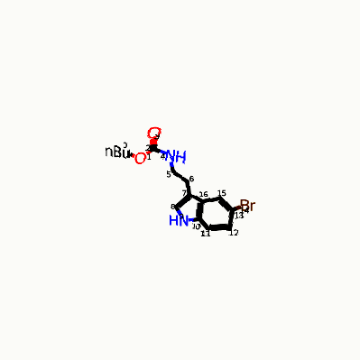 CCCCOC(=O)NCCc1c[nH]c2ccc(Br)cc12